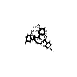 Cc1ccc2[nH]c3c(c2c1)CCN(C(=O)C1CCN(C)CC1)C3c1cccc(O)c1